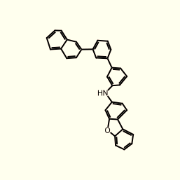 c1cc(Nc2ccc3c(c2)oc2ccccc23)cc(-c2cccc(-c3ccc4ccccc4c3)c2)c1